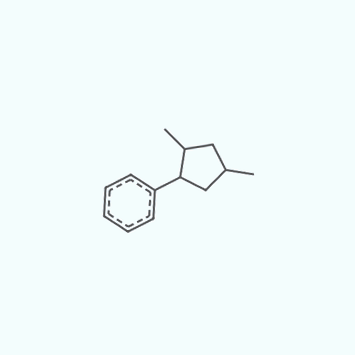 CC1CC(C)C(c2ccccc2)C1